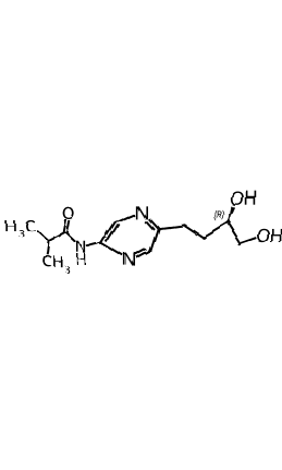 CC(C)C(=O)Nc1cnc(CC[C@@H](O)CO)cn1